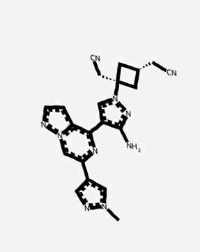 Cn1cc(-c2cn3nccc3c(-c3cn([C@]4(CC#N)C[C@@H](CC#N)C4)nc3N)n2)cn1